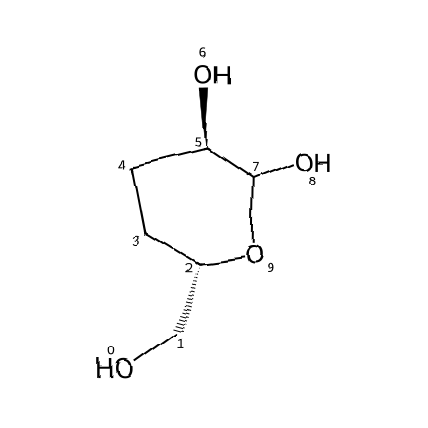 OC[C@@H]1CC[C@@H](O)C(O)O1